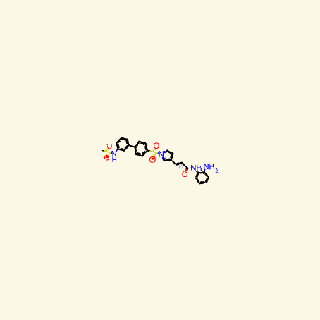 CS(=O)(=O)Nc1cccc(-c2ccc(S(=O)(=O)n3ccc(/C=C/C(=O)Nc4ccccc4N)c3)cc2)c1